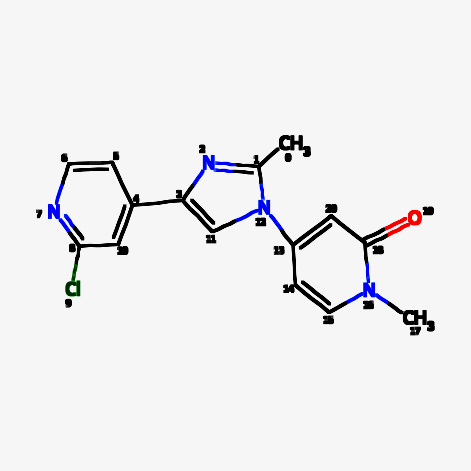 Cc1nc(-c2ccnc(Cl)c2)cn1-c1ccn(C)c(=O)c1